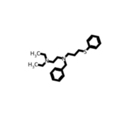 CCN(CC)CCN(CCCSc1ccccc1)Cc1ccccc1